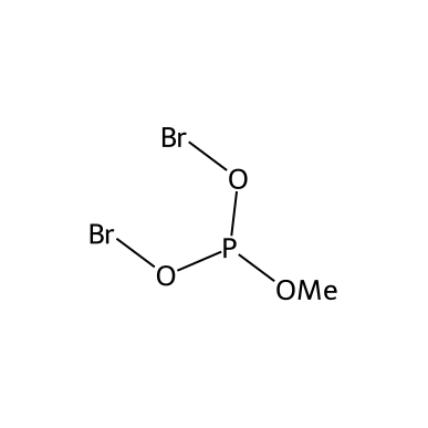 COP(OBr)OBr